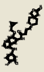 O=C(C=CCN1CCC2(CC1)COC(=O)C2)Nc1cc2c(Nc3ccc(F)c(Cl)c3)ncnc2cc1OCC1CC1